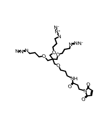 [N-]=[N+]=NCCCOCC(COCCCN=[N+]=[N-])(COCCCN=[N+]=[N-])COCCCNC(=O)CCN1C(=O)C=CC1=O